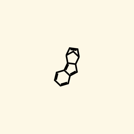 C1=CC2CC1C1=c3ccccc3=CC12